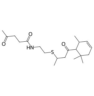 CC(=O)CCC(=O)NCCSC(C)CC(=O)C1C(C)C=CCC1(C)C